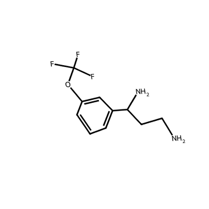 NCCC(N)c1cccc(OC(F)(F)F)c1